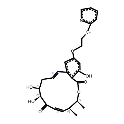 C[C@@H]1OC(=O)c2c(O)cc(OCCNc3ccccn3)cc2/C=C/C[C@H](O)[C@H](O)C(=O)/C=C\[C@@H]1C